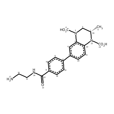 C[C@H]1CN(C(=O)O)c2cc(-c3ccc(C(=O)NCCN)cc3)ccc2N1C(=O)O